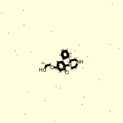 C[C@@H](O)COc1ccc(N2CCNC[C@H]2c2ccccc2)c(Cl)c1